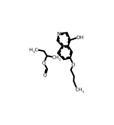 CCC(C)OC=O.CCCCOc1ccc2cncc(O)c2c1